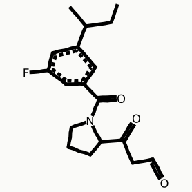 CCC(C)c1cc(F)cc(C(=O)N2CCCC2C(=O)CC=O)c1